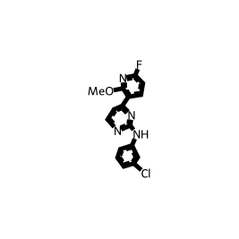 COc1nc(F)ccc1-c1ccnc(Nc2cccc(Cl)c2)n1